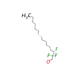 CCCCCCCCCCCCCC(F)C(F)(F)C=O